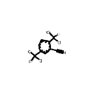 N#Cc1cc(C(Cl)(Cl)Cl)ccc1C(Cl)(Cl)Cl